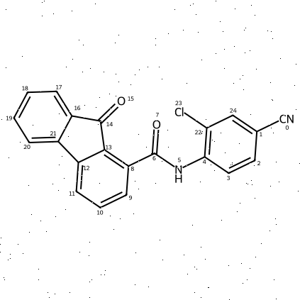 N#Cc1ccc(NC(=O)c2cccc3c2C(=O)c2ccccc2-3)c(Cl)c1